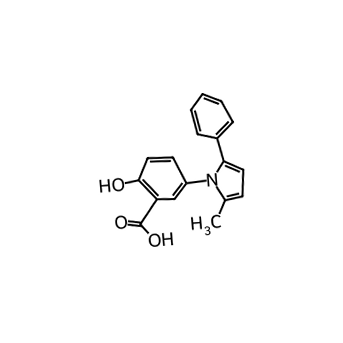 Cc1ccc(-c2ccccc2)n1-c1ccc(O)c(C(=O)O)c1